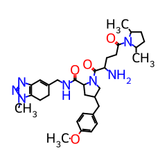 COc1ccc(CC2CC(C(=O)NCC3=Cc4nnn(C)c4CC3)N(C(=O)C(N)CCC(=O)N3C(C)CCC3C)C2)cc1